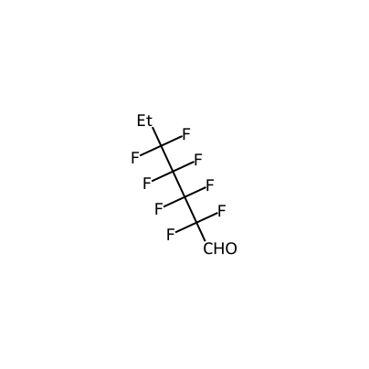 CCC(F)(F)C(F)(F)C(F)(F)C(F)(F)C=O